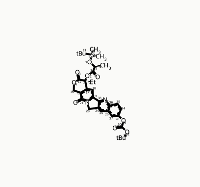 CC[C@@]1(OC(=O)[C@H](C)O[Si](C)(C)C(C)(C)C)C(=O)OCc2c1cc1n(c2=O)Cc2cc3cc(OC(=O)OC(C)(C)C)ccc3nc2-1